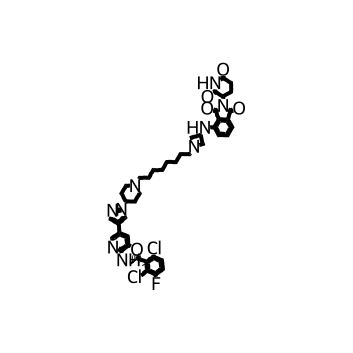 C[C@@H](Oc1cc(-c2cnn(C3CCN(CCCCCCCCN4CC(Nc5cccc6c5C(=O)N(C5CCC(=O)NC5=O)C6=O)C4)CC3)c2)cnc1N)c1c(Cl)ccc(F)c1Cl